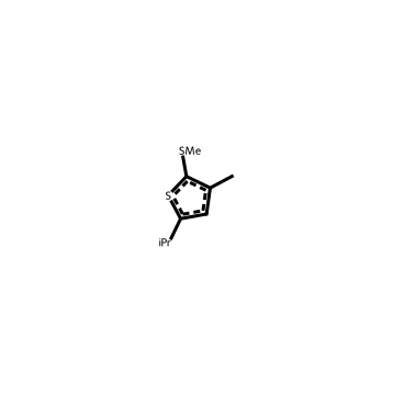 CSc1sc(C(C)C)cc1C